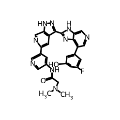 CN(C)CC(=O)Nc1cncc(-c2cc3c(-c4nc5c(-c6cc(O)cc(F)c6)cncc5[nH]4)n[nH]c3cn2)c1